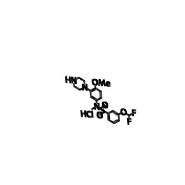 COc1ccc(N(C)S(=O)(=O)c2cccc(OC(F)F)c2)cc1N1CCNCC1.Cl